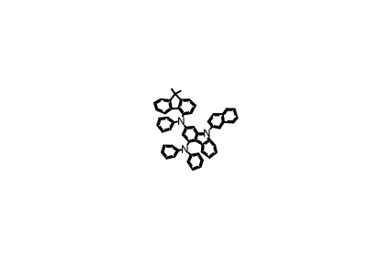 CC1(C)c2ccccc2-c2c(N(c3ccccc3)c3cc(N(c4ccccc4)c4ccccc4)c4c5ccccc5n(-c5ccc6ccccc6c5)c4c3)cccc21